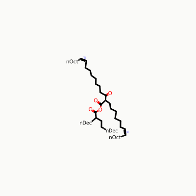 CCCCCCCC/C=C\CCCCCCCC(=O)C(CCCCCC/C=C\CCCCCCCC)C(=O)OC(=O)C(CCCCCCCCCC)CCCCCCCCCCCC